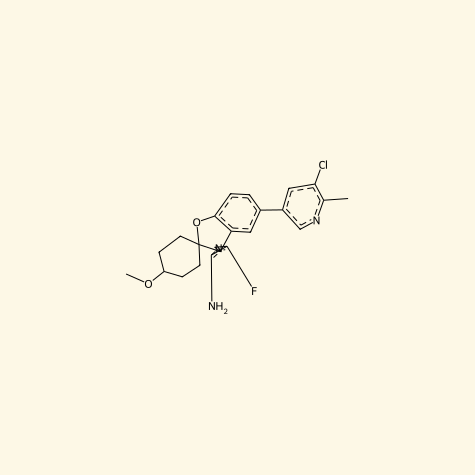 COC1CCC2(CC1)Oc1ccc(-c3cnc(C)c(Cl)c3)cc1C21C=C(F)C(N)=N1